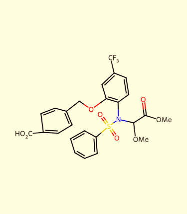 COC(=O)C(OC)N(c1ccc(C(F)(F)F)cc1OCc1ccc(C(=O)O)cc1)S(=O)(=O)c1ccccc1